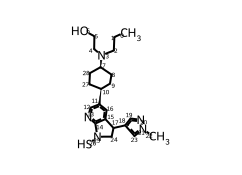 CCCN(CCO)[C@H]1CC[C@@H](c2cnc3c(c2)C(c2cnn(C)c2)CN3S)CC1